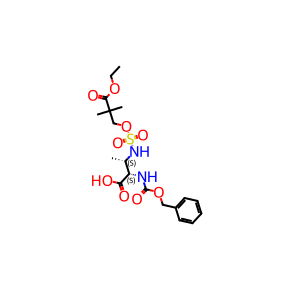 CCOC(=O)C(C)(C)COS(=O)(=O)N[C@@H](C)[C@H](NC(=O)OCc1ccccc1)C(=O)O